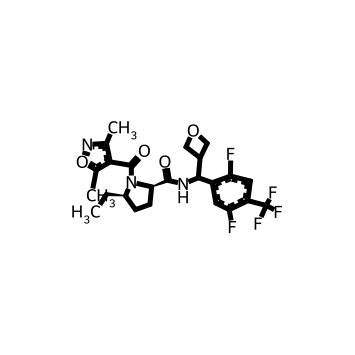 CC[C@@H]1CC[C@H](C(=O)NC(c2cc(F)c(C(F)(F)F)cc2F)C2COC2)N1C(=O)c1c(C)noc1C